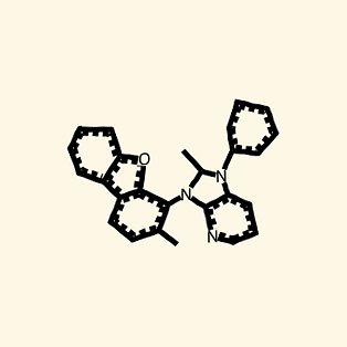 Cc1ccc2c(oc3ccccc32)c1N1c2ncccc2N(c2ccccc2)C1C